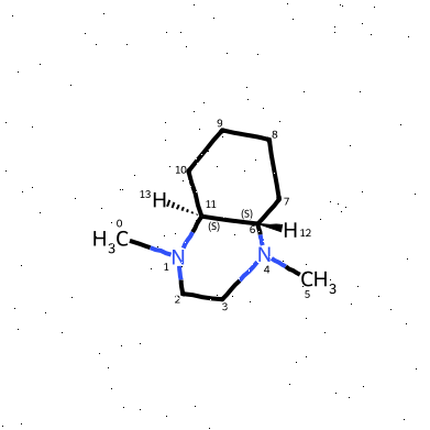 CN1CCN(C)[C@H]2CCCC[C@@H]21